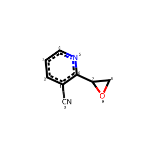 N#Cc1cccnc1C1CO1